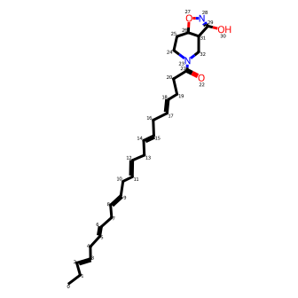 CCC=CCC=CCC=CCC=CCC=CCC=CCCC(=O)N1CCC2ON=C(O)C2C1